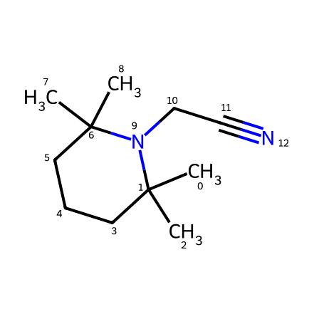 CC1(C)CCCC(C)(C)N1CC#N